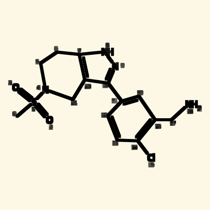 CS(=O)(=O)N1CCc2[nH]nc(-c3ccc(Cl)c(CN)c3)c2C1